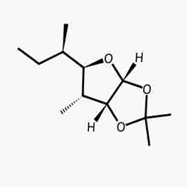 CC[C@@H](C)[C@H]1O[C@@H]2OC(C)(C)O[C@@H]2[C@@H]1C